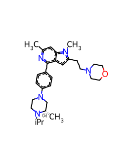 Cc1cc2c(cc(CCN3CCOCC3)n2C)c(-c2ccc(N3CCN(C(C)C)[C@@H](C)C3)cc2)n1